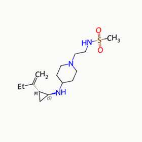 C=C(CC)[C@H]1C[C@@H]1NC1CCN(CCNS(C)(=O)=O)CC1